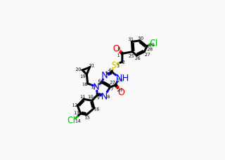 O=C(CSc1nc2c(nc(-c3ccc(Cl)cc3)n2CC2CC2)c(=O)[nH]1)c1ccc(Cl)cc1